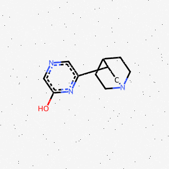 Oc1cncc(C2CN3CCC2CC3)n1